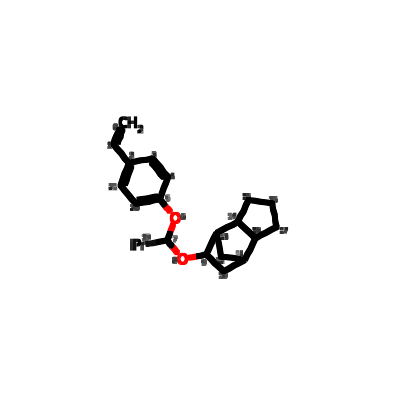 C=Cc1ccc(OC(OC2CC3CC2C2CCCC32)C(C)C)cc1